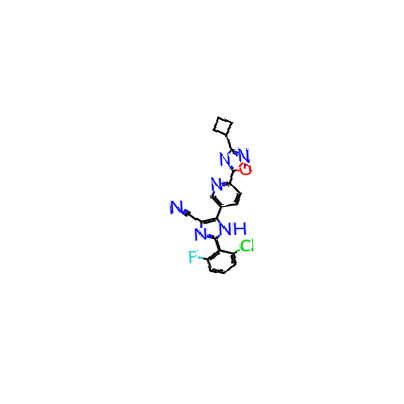 N#Cc1nc(-c2c(F)cccc2Cl)[nH]c1-c1ccc(-c2nc(C3CCC3)no2)nc1